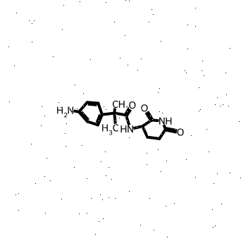 CC(C)(C(=O)NC1CCC(=O)NC1=O)c1ccc(N)cc1